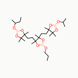 CCCOB1OC(C)(CCC2(C)OB(OC(C)C)OC2(C)C)C(C)(CCC2(C)OB(OC(C)CC)OC2(C)C)O1